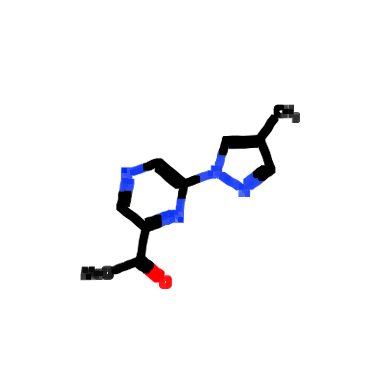 COC(=O)c1cncc(-n2cc(C)cn2)n1